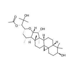 CC(=O)O[C@@H]([C@H]1C[C@@H](C)[C@H]2[C@H](O1)[C@H](O)[C@@]1(C)[C@@H]3CC[C@@H]4C(C)(C)[C@@H](O)CCC45C[C@@]35CC[C@]21C)C(C)(C)O